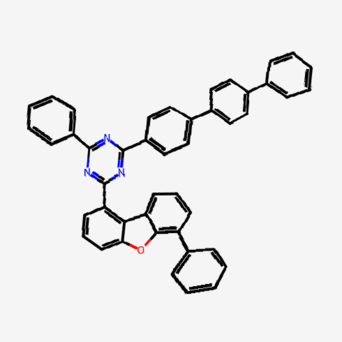 c1ccc(-c2ccc(-c3ccc(-c4nc(-c5ccccc5)nc(-c5cccc6oc7c(-c8ccccc8)cccc7c56)n4)cc3)cc2)cc1